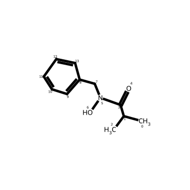 CC(C)C(=O)N(O)Cc1ccccc1